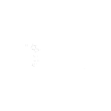 CCOP(=O)(C[C@@H](O)CNCc1c[nH]c2c(=O)[nH]c(O)nc12)OCCCCCCCCCCCCCCCCCCCCCO